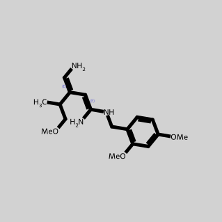 COCC(C)C(/C=C(\N)NCc1ccc(OC)cc1OC)=C/N